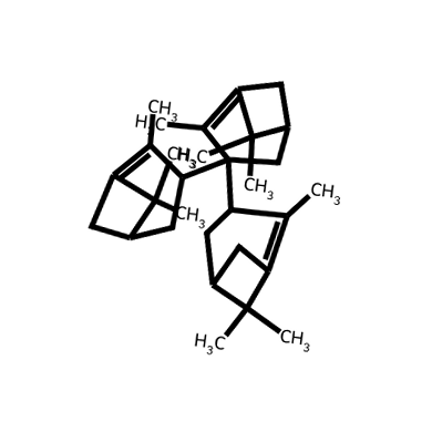 CC1=C2CC(CC1C1(C3CC4CC(=C3C)C4(C)C)CC3CC(=C1C)C3(C)C)C2(C)C